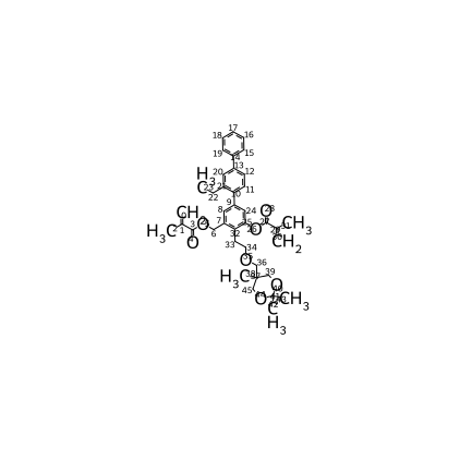 C=C(C)C(=O)OCc1cc(-c2ccc(-c3ccccc3)cc2CC)cc(OC(=O)C(=C)C)c1CCOCC1(C)COC(C)(C)OC1